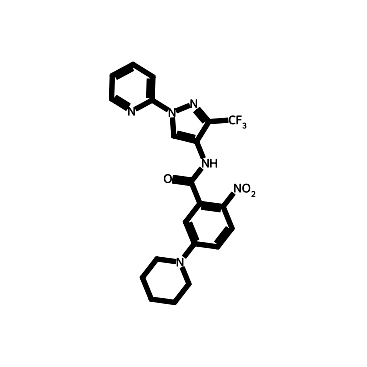 O=C(Nc1cn(-c2ccccn2)nc1C(F)(F)F)c1cc(N2CCCCC2)ccc1[N+](=O)[O-]